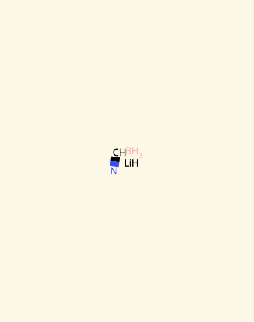 B.C#N.[LiH]